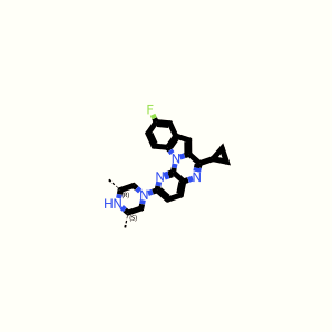 C[C@@H]1CN(c2ccc3nc(C4CC4)c4cc5cc(F)ccc5n4c3n2)C[C@H](C)N1